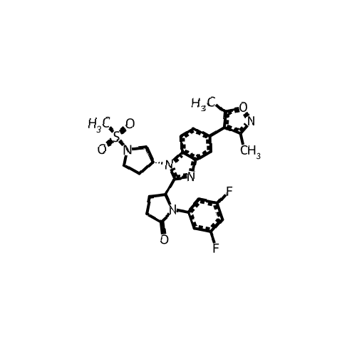 Cc1noc(C)c1-c1ccc2c(c1)nc(C1CCC(=O)N1c1cc(F)cc(F)c1)n2[C@@H]1CCN(S(C)(=O)=O)C1